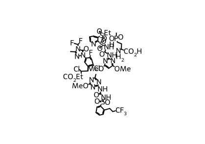 CCOC(=O)C(Cl)Cc1cc(-n2nc(C)n(C(F)F)c2=O)c(F)cc1Cl.CCS(=O)(=O)c1cccnc1S(=O)(=O)NC(=O)Nc1nc(OC)cc(OC)n1.COc1nc(C)nc(NC(=O)NS(=O)(=O)c2ccccc2CCC(F)(F)F)n1.CP(=O)(O)CCC(N)C(=O)O